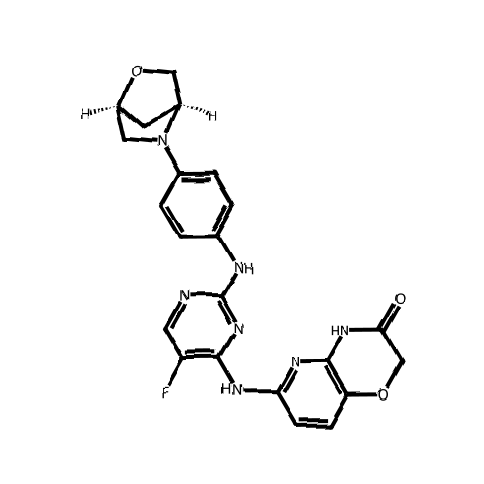 O=C1COc2ccc(Nc3nc(Nc4ccc(N5C[C@@H]6C[C@H]5CO6)cc4)ncc3F)nc2N1